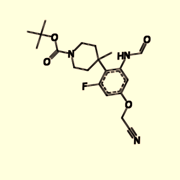 CC(C)(C)OC(=O)N1CCC(C)(c2c(F)cc(OCC#N)cc2NC=O)CC1